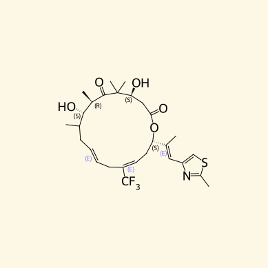 C/C(=C\c1csc(C)n1)[C@@H]1C/C=C(/C(F)(F)F)C/C=C/CC(C)[C@H](O)[C@@H](C)C(=O)C(C)(C)[C@@H](O)CC(=O)O1